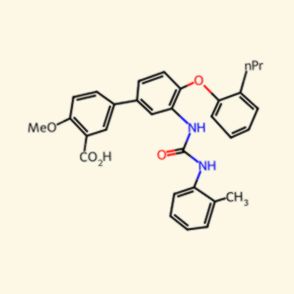 CCCc1ccccc1Oc1ccc(-c2ccc(OC)c(C(=O)O)c2)cc1NC(=O)Nc1ccccc1C